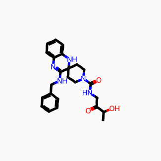 CC(O)C(=O)CNC(=O)N1CCC2(CC1)Nc1ccccc1N=C2NCc1ccccc1